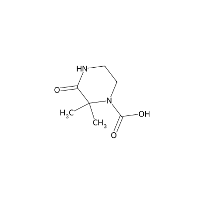 CC1(C)C(=O)NCCN1C(=O)O